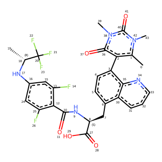 Cc1c(-c2ccc(C[C@H](NC(=O)c3c(F)cc(N[C@H](C)C(F)(F)F)cc3F)C(=O)O)c3cccnc23)c(=O)n(C)c(=O)n1C